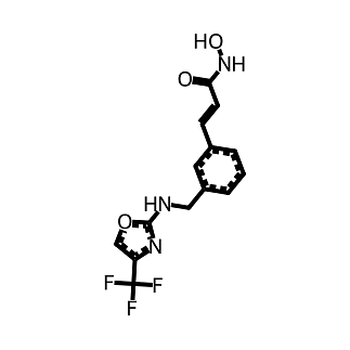 O=C(/C=C/c1cccc(CNc2nc(C(F)(F)F)co2)c1)NO